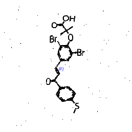 CSc1ccc(C(=O)/C=C/c2cc(Br)c(OC(C)(C)C(=O)O)c(Br)c2)cc1